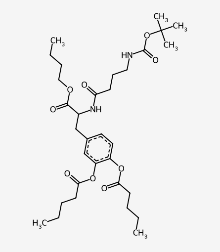 CCCCOC(=O)C(Cc1ccc(OC(=O)CCCC)c(OC(=O)CCCC)c1)NC(=O)CCCNC(=O)OC(C)(C)C